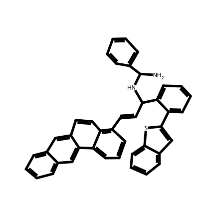 NC(NC(/C=C/c1cccc2c1ccc1cc3ccccc3cc12)c1ccccc1-c1cc2ccccc2s1)c1ccccc1